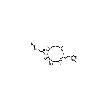 C/C1=C/CC(/C(C)=C/c2csc(C)n2)OC(=O)C[C@H](O)C(C)(C)C(=O)C(CCCCN=[N+]=[N-])C(O)C(C)CCC1